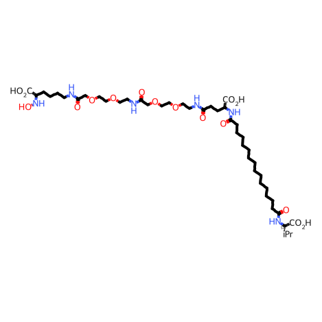 CC(C)[C@H](NC(=O)CCCCCCCCCCCCCCC(=O)NC(CCC(=O)NCCOCCOCC(=O)NCCOCCOCC(=O)NCCCCC(NO)C(=O)O)C(=O)O)C(=O)O